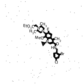 C=C1C(C(=O)NCc2ccc(Cl)cc2Br)=CN(C2CC2)c2c1cc(F)c(N1C[C@@H](C)N(CC(=O)OCC)[C@@H](C)C1)c2OC